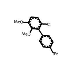 COc1c[c]c(Cl)c(-c2ccc(C(C)C)cc2)c1OC